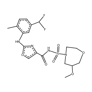 COC1COCCN(S(=O)(=O)NC(=O)c2coc(Nc3cc(C(F)F)ccc3C)n2)C1